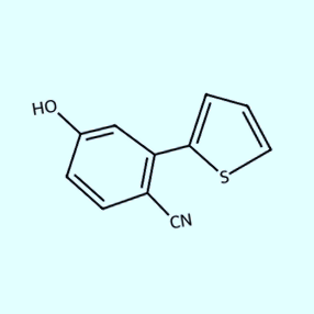 N#Cc1ccc(O)cc1-c1cccs1